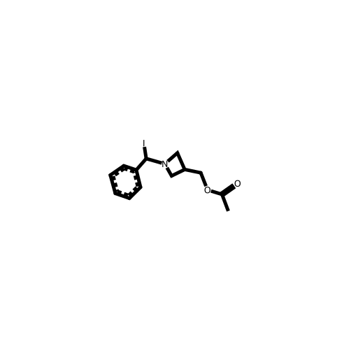 CC(=O)OCC1CN(C(I)c2ccccc2)C1